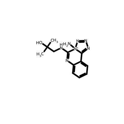 CC(C)(O)CNC1=Nc2ccccc2C2=NN=N[N+]12N